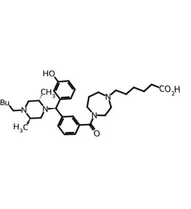 CCC(C)CN1C[C@H](C)N([C@@H](c2cccc(O)c2)c2cccc(C(=O)N3CCCN(CCCCCC(=O)O)CC3)c2)C[C@H]1C